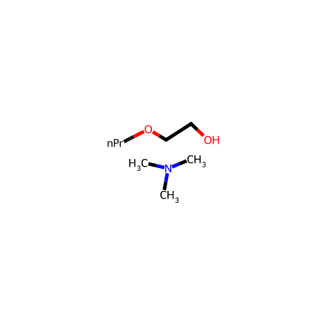 CCCOCCO.CN(C)C